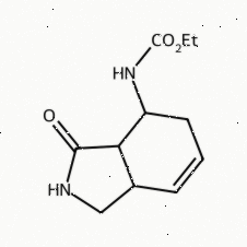 CCOC(=O)NC1CC=CC2CNC(=O)C21